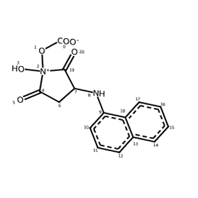 O=C([O-])O[N+]1(O)C(=O)CC(Nc2cccc3ccccc23)C1=O